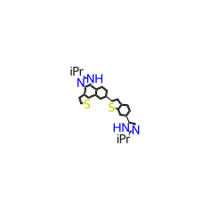 CC(C)c1ncc(-c2ccc3cc(-c4ccc5c(c4)c4sccc4c4nc(C(C)C)[nH]c54)sc3c2)[nH]1